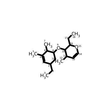 CCC1C=C(C)C(C)C(OC2C(C)C=COC2CC)C1